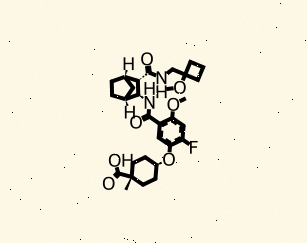 COc1cc(F)c(O[C@H]2CC[C@@](C)(C(=O)O)CC2)cc1C(=O)N[C@@H]1[C@H]2CC[C@H](C2)[C@@H]1C(=O)NCC1(OC)CCC1